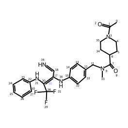 CC(=O)N1CCC(C(=O)N(C)Cc2ccc(N/C(C=N)=C(/Nc3ccccc3)C(F)(F)F)cc2)CC1